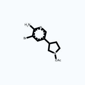 CC(=O)ON1CCC(c2cnc(N)c(Br)c2)C1